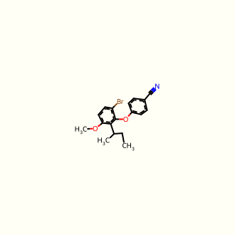 CCC(C)c1c(OC)ccc(Br)c1Oc1ccc(C#N)cc1